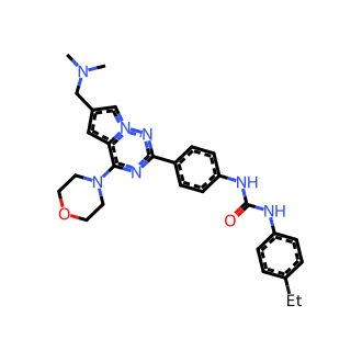 CCc1ccc(NC(=O)Nc2ccc(-c3nc(N4CCOCC4)c4cc(CN(C)C)cn4n3)cc2)cc1